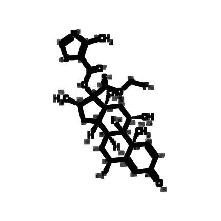 Cc1ncsc1C(=O)O[C@]1(C(=S)OCF)[C@H](C)C[C@H]2[C@@H]3C[C@H](F)C4=CC(=O)C=C[C@]4(C)[C@@]3(F)[C@@H](O)C[C@@]21C